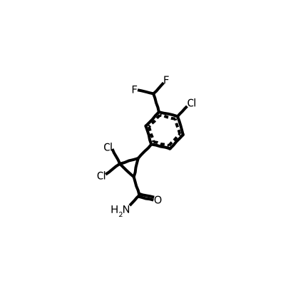 NC(=O)C1C(c2ccc(Cl)c(C(F)F)c2)C1(Cl)Cl